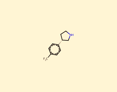 FC(F)(F)c1ccc([C@@H]2CCNC2)cc1